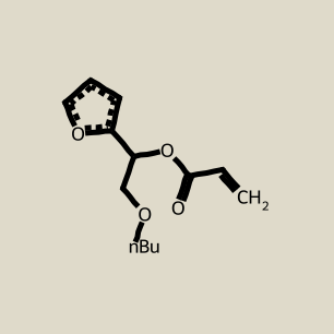 C=CC(=O)OC(COCCCC)c1ccco1